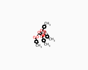 Cc1ccc(C(=O)OC[C@H]2OC(OC(=O)c3ccc(C)cc3)[C@](C)(OC(=O)c3ccc(C)cc3)[C@@H]2OC(=O)c2ccc(C)cc2)cc1